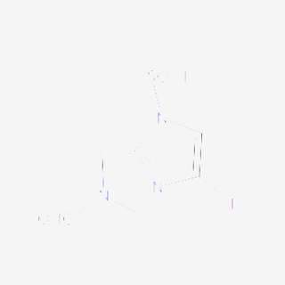 CN(C)C=O.O=S(=O)(O)n1cnc(I)c1